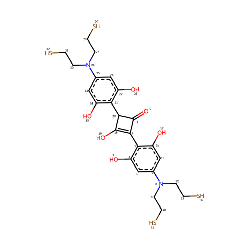 O=C1C(c2c(O)cc(N(CCS)CCS)cc2O)=C(O)C1c1c(O)cc(N(CCS)CCS)cc1O